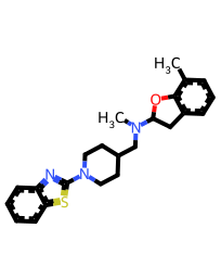 Cc1cccc2c1OC(N(C)CC1CCN(c3nc4ccccc4s3)CC1)C2